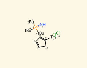 CC(C)(C)P(=N)(C(C)(C)C)C(C)(C)C.[Cl-].[Cl-].[Ti+2][C]1=CC=CC1